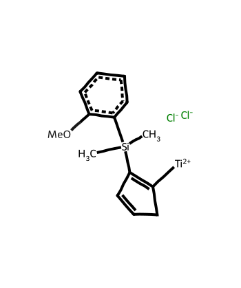 COc1ccccc1[Si](C)(C)C1=[C]([Ti+2])CC=C1.[Cl-].[Cl-]